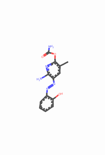 Cc1cc(N=Nc2ccccc2O)c(N)nc1OC(N)=O